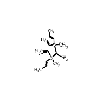 C=C[Si](C)(C=CC)C([SiH3])[Si](C)(C=C)C=CC